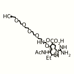 C#CCOCCOCCOCCOCCNC(=O)O[C@H]1[C@@H]([C@@H](NC(C)=O)C(CC)CC)C(NC(=N)N)C[C@@H]1C(=O)O